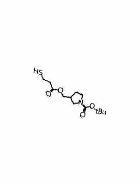 CC(C)(C)OC(=O)N1CCC(COC(=O)CCS)C1